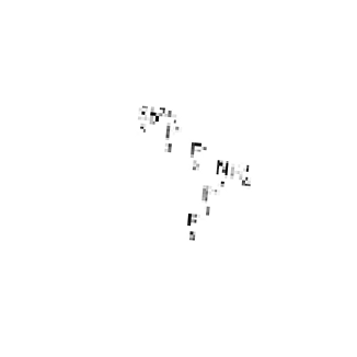 [F-].[F-].[F-].[F-].[NH4+].[Sb+3]